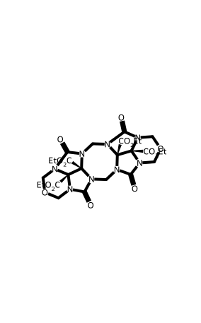 CCOC(=O)[C@]12N3COCN1C(=O)N1CN4C(=O)N5COCN6C(=O)N(CN(C3=O)[C@]12C(=O)OCC)[C@]4(C(=O)OCC)[C@@]56C(=O)OCC